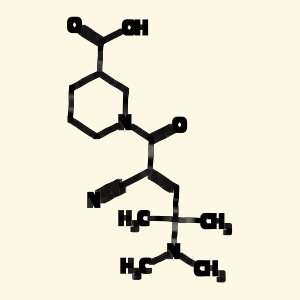 CN(C)C(C)(C)C=C(C#N)C(=O)N1CCCC(C(=O)O)C1